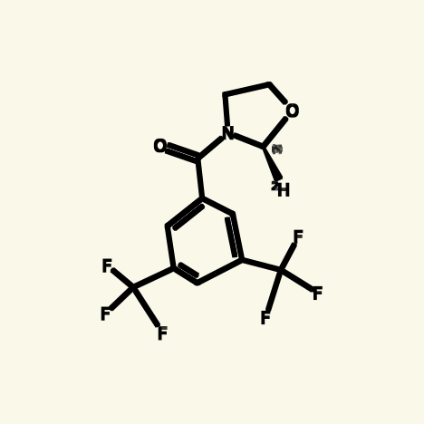 [2H][C@@H]1OCCN1C(=O)c1cc(C(F)(F)F)cc(C(F)(F)F)c1